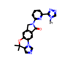 CC(C)n1cnnc1-c1cccc(N2Cc3cc4c(cc3C2=O)-n2cncc2C(C)(C)O4)n1